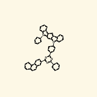 c1ccc(-c2nc(-c3ccc(-n4c5ccccc5c5cc6c7ccccc7n(-c7ccccc7)c6cc54)cc3)nc(-c3ccc4c(ccc5ccccc54)c3)n2)cc1